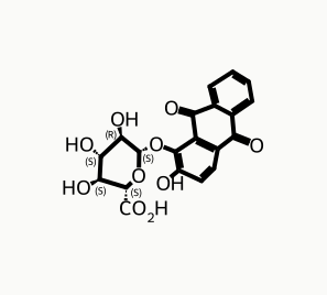 O=C1c2ccccc2C(=O)c2c1ccc(O)c2O[C@@H]1O[C@H](C(=O)O)[C@@H](O)[C@H](O)[C@H]1O